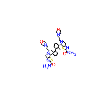 Cc1c(-c2cccc(C3c4sc(C(N)=O)nc4CCN3CCCN3CCOCC3)c2C)cccc1C1c2sc(C(N)=O)nc2CCN1CCCN1CCOCC1